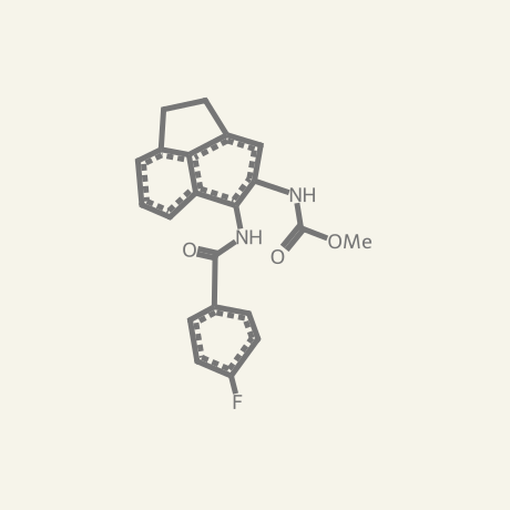 COC(=O)Nc1cc2c3c(cccc3c1NC(=O)c1ccc(F)cc1)CC2